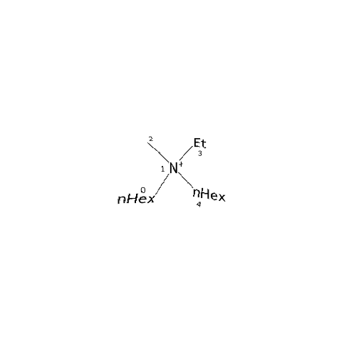 CCCCCC[N+](C)(CC)CCCCCC